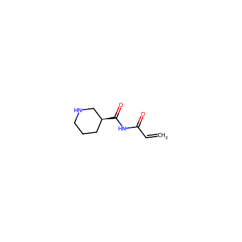 C=CC(=O)NC(=O)[C@H]1CCCNC1